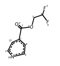 O=C(OCC(F)F)c1ccncc1